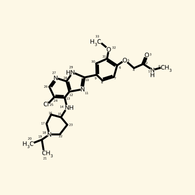 CNC(=O)COc1ccc(-c2nc3c(NC4CCN(C(C)C)CC4)c(Cl)cnc3[nH]2)cc1OC